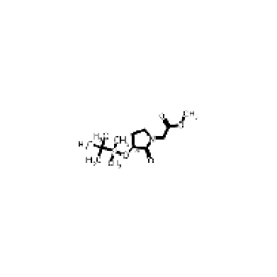 COC(=O)CN1CC[C@H](O[Si](C)(C)C(C)(C)C)C1=O